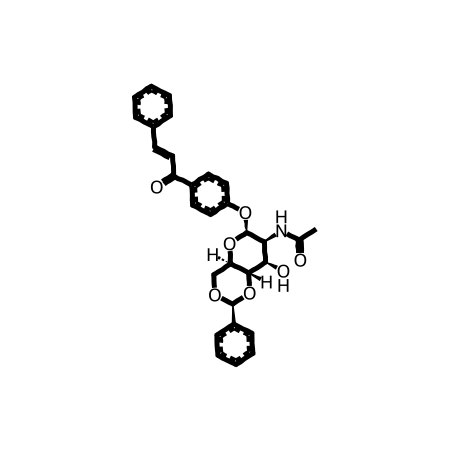 CC(=O)N[C@@H]1[C@H](Oc2ccc(C(=O)/C=C/c3ccccc3)cc2)O[C@@H]2CO[C@H](c3ccccc3)O[C@H]2[C@@H]1O